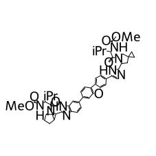 COC(=O)NC(C(=O)N1CC2(CC2)CC1c1ncc(-c2ccc3c(c2)oc2cc(-c4ccc5nc(C6C7CCC(C7)N6C(=O)C(NC(=O)OC)C(C)C)[nH]c5c4)ccc23)[nH]1)C(C)C